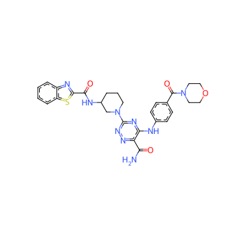 NC(=O)c1nnc(N2CCCC(NC(=O)c3nc4ccccc4s3)C2)nc1Nc1ccc(C(=O)N2CCOCC2)cc1